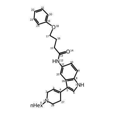 CCCCCCN1CC=C(c2c[nH]c3ccc(NC(=O)CCCOc4ccccc4)cc23)CC1